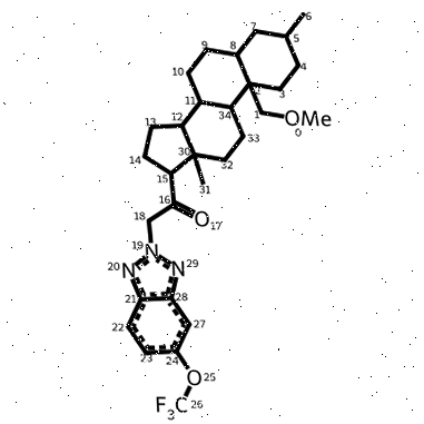 COCC12CCC(C)CC1CCC1C3CCC(C(=O)Cn4nc5ccc(OC(F)(F)F)cc5n4)C3(C)CCC12